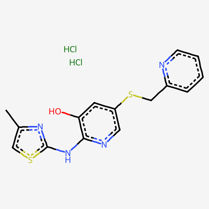 Cc1csc(Nc2ncc(SCc3ccccn3)cc2O)n1.Cl.Cl